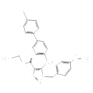 CCOC(=O)c1nnn(Cc2ccc(OC)cc2)c1Nc1ccc(-c2ccc(Cl)cc2)cc1